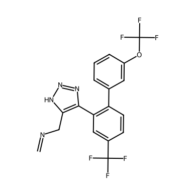 C=NCc1[nH]nnc1-c1cc(C(F)(F)F)ccc1-c1cccc(OC(F)(F)F)c1